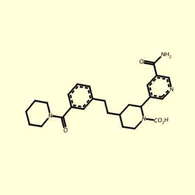 NC(=O)c1cncc(C2CC(CCc3cccc(C(=O)N4CCCCC4)c3)CCN2C(=O)O)c1